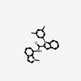 Cc1cc(C)cc(-n2c(C(=O)Nc3cccc4ccn(C)c34)cc3ccccc32)c1